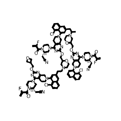 C=C(F)C(=O)N1CCN(c2nc(OCC3COC3)nc3c2CCN(c2cc(CCN4CCOC(COc5nc6c(c(N7CCN(C(=O)C(=C)F)[C@@H](CC#N)C7)n5)CCN(c5cc(CC(C)N7CCOC(COc8nc9c(c(N%10CCN(C(=O)C(=C)F)[C@@H](CC#N)C%10)n8)CCN(c8cccc%10cccc(Cl)c8%10)C9)C7)cc7cccc(Cl)c57)C6)C4)cc4cccc(Cl)c24)C3)C[C@@H]1CC#N